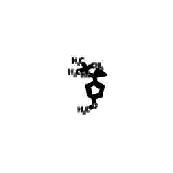 COc1ccc(C2(NC(C)(C)C)CC2)cc1